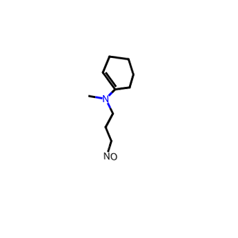 CN(CCCN=O)C1=CCCCC1